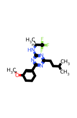 COC1C=C(c2nc(CCC(C)C)nc(N[C@H](C)C(F)(F)F)n2)CCC1